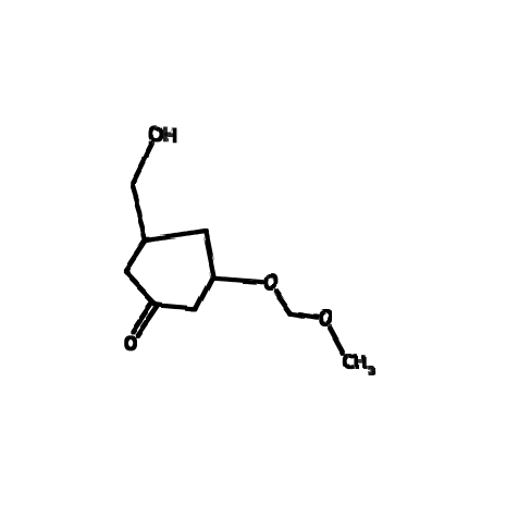 COCOC1CC(=O)CC(CO)C1